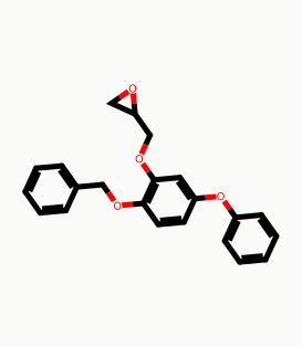 c1ccc(COc2ccc(Oc3ccccc3)cc2OCC2CO2)cc1